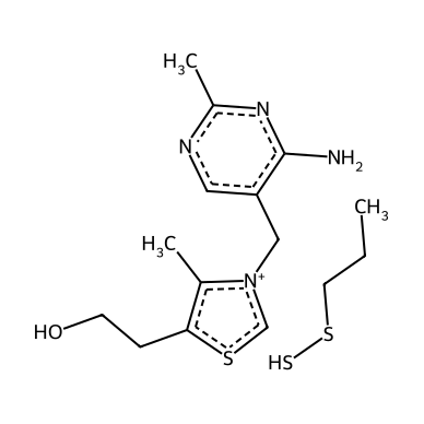 CCCSS.Cc1ncc(C[n+]2csc(CCO)c2C)c(N)n1